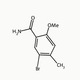 COc1cc(C)c(Br)cc1C(N)=O